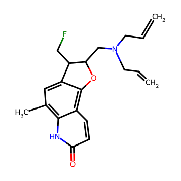 C=CCN(CC=C)CC1Oc2c(cc(C)c3[nH]c(=O)ccc23)C1CF